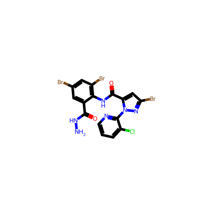 NNC(=O)c1cc(Br)cc(Br)c1NC(=O)c1cc(Br)nn1-c1ncccc1Cl